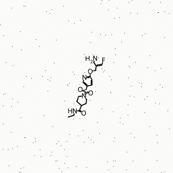 CCNC(=O)C1CCN(S(=O)(=O)c2ccc(OC/C(=C/F)CN)nc2)CC1